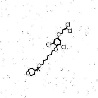 ClC(Cl)=CCOc1cc(Cl)c(OCCCCCCON=C2CCOCC2)c(Cl)c1